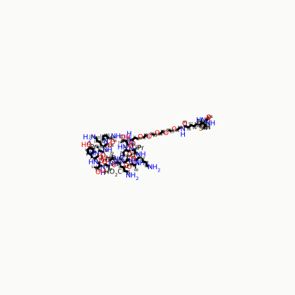 CC(C)C[C@@H](NC(=O)[C@H](Cc1ccc(O)cc1)NC(=O)C(NC(=O)[C@H](CC(=O)O)NC(=O)[C@@H](C)NC(=O)[C@H](CCCCN)NC(=O)[C@@H](C)NC(=O)[C@H](C)NC(=O)[C@@H](CCCCN)NC(=O)[C@@H](NC(=O)[C@@H](CCC(=O)O)NC(=O)C(NC(=O)CCOCCOCCOCCOCCOCCNC(=O)CCCC[C@@H]1SC[C@H]2NC(=O)N[C@@H]12)[C@@H](C)O)C(C)C)[C@H](C)O)C(=O)N[C@@H](CCCCN)C(=O)N1CCC[C@@H]1C(N)=O